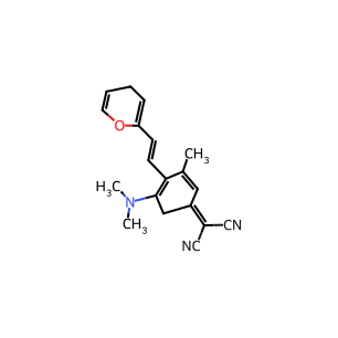 CC1=CC(=C(C#N)C#N)CC(N(C)C)=C1C=CC1=CCC=CO1